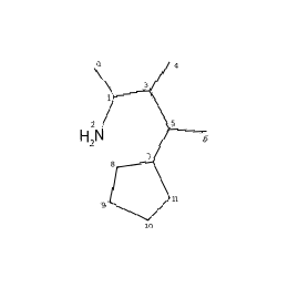 CC(N)C(C)C(C)C1CCCC1